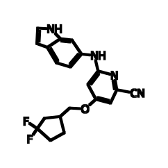 N#Cc1cc(OCC2CCC(F)(F)C2)cc(Nc2ccc3cc[nH]c3c2)n1